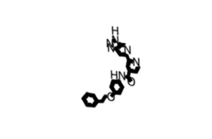 O=C(Nc1ccc(OCCc2ccccc2)cc1)c1ccnc(-c2cc3nn[nH]c3cn2)c1